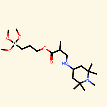 CO[Si](CCCOC(=O)C(C)CNC1CC(C)(C)N(C)C(C)(C)C1)(OC)OC